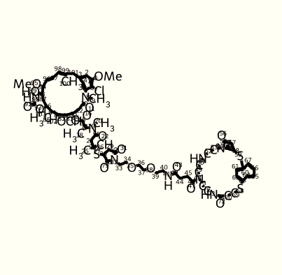 COc1cc2cc(c1Cl)N(C)C(=O)C[C@H](OC(=O)[C@H](C)N(C)C(=O)CC(C)(C)SC1CC(=O)N(CCOCCOCCNC(=O)CCC(=O)N3CCNCCN4C(=O)CC(SC5=C\C=C(/C=C/C=C\5)SCCC(=O)NCC3)C4=O)C1=O)[C@]1(C)O[C@H]1[C@H](C)[C@@H]1C[C@@](O)(NC(=O)O1)[C@H](OC)/C=C/C=C(\C)C2